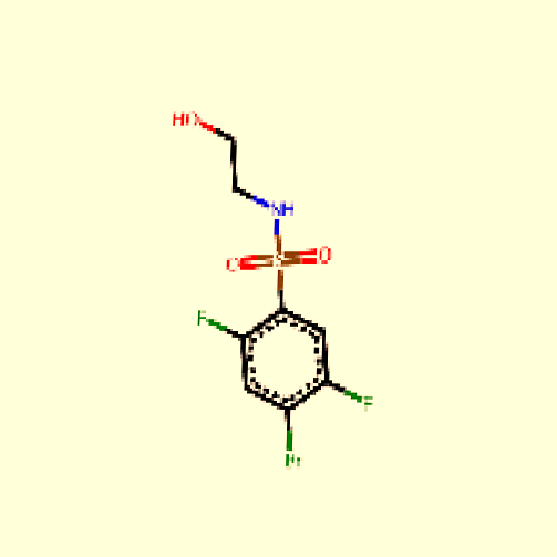 O=S(=O)(NCCO)c1cc(F)c(Br)cc1F